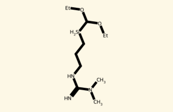 CCOC(OCC)[SiH2]CCCNC(=N)N(C)C